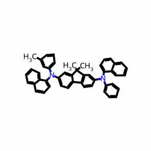 Cc1cccc(N(c2ccc3c(c2)C(C)(C)c2cc(N(c4ccccc4)c4cccc5ccccc45)ccc2-3)c2cccc3ccccc23)c1